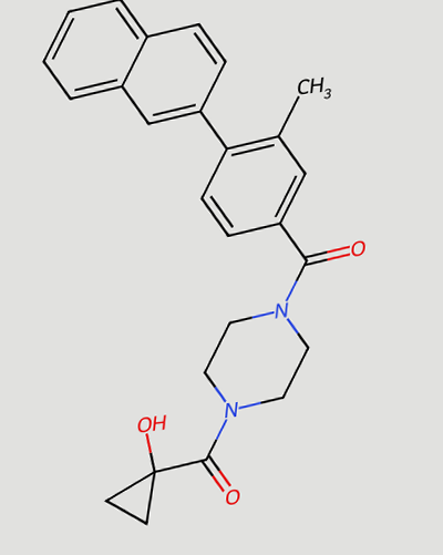 Cc1cc(C(=O)N2CCN(C(=O)C3(O)CC3)CC2)ccc1-c1ccc2ccccc2c1